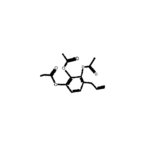 C=CCc1ccc(OC(C)=O)c(OC(C)=O)c1OC(C)=O